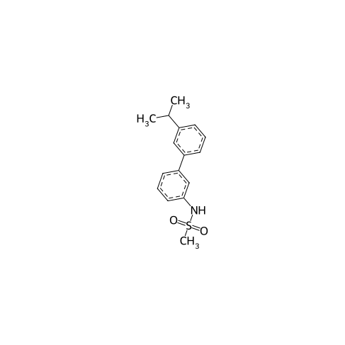 CC(C)c1cccc(-c2cccc(NS(C)(=O)=O)c2)c1